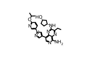 CCc1nc2c(N)ncc(-c3cnn(-c4ccc(OC(C)C)nc4)c3)c2nc1N[C@@H]1CC[C@H](O)C1